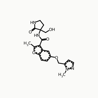 Cc1oc2ccc(OCc3ccnn3C)cc2c1C(=O)NC1(CO)CCNC1=O